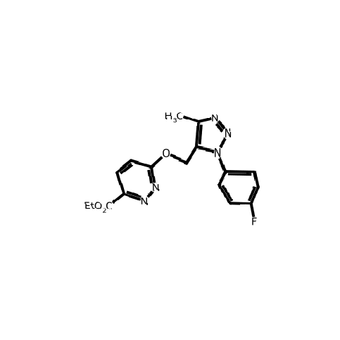 CCOC(=O)c1ccc(OCc2c(C)nnn2-c2ccc(F)cc2)nn1